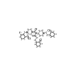 CCOc1cccc(F)c1CN1CCN(C(=O)[C@H](NCCc2ccccc2Cl)C2CCN(CCc3ccccc3Cl)CC2)CC1